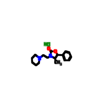 CC1C(c2ccccc2)OC(=O)N1CCN1CCCCC1.Cl